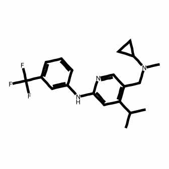 CC(C)c1cc(Nc2cccc(C(F)(F)F)c2)ncc1CN(C)C1CC1